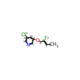 CC=C(F)COc1cncc(Cl)c1